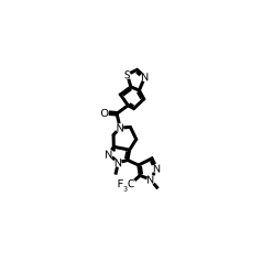 Cn1nc2c(c1-c1cnn(C)c1C(F)(F)F)CCN(C(=O)c1ccc3ncsc3c1)C2